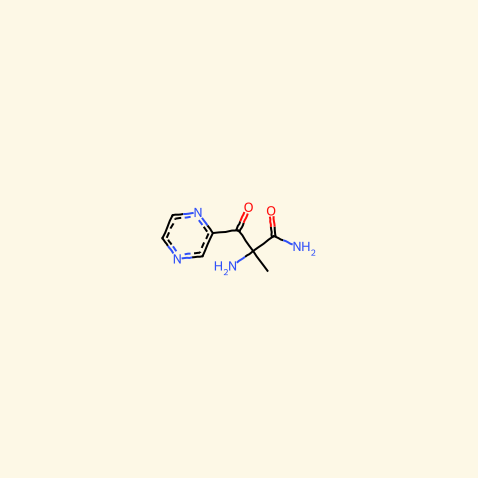 CC(N)(C(N)=O)C(=O)c1cnccn1